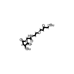 CC(C)(C)CC(=O)CCOCCNC(=O)CN1C(=O)CC(C(C)(C)C)C1=O